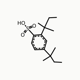 CCC(C)(C)c1ccc(S(=O)(=O)O)c(C(C)(C)CC)c1